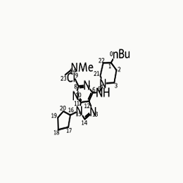 CCCCC1CCN(Nc2nc(Cl)nc3c2ncn3C2CCCC2)CC1.CNC